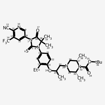 CCc1cc(N2C(=S)N(c3cnc(C#N)c(C(F)(F)F)c3)C(=O)C2(C)C)ccc1OC(C)CN1C[C@@H](C)N(C(=O)OC(C)(C)C)[C@@H](C)C1